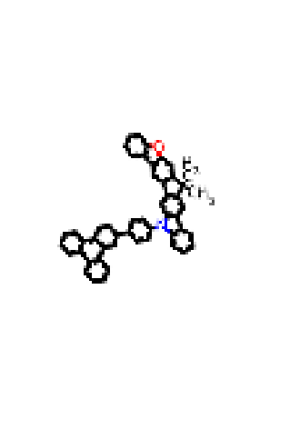 CC1(C)c2cc3oc4ccccc4c3cc2-c2cc3c(cc21)c1ccccc1n3-c1ccc(-c2ccc3c4ccccc4c4ccccc4c3c2)cc1